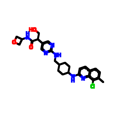 Cc1ccc2ccc(NC3CCC(CNc4ncc(C(CO)C(=O)NC5COC5)cn4)CC3)nc2c1Cl